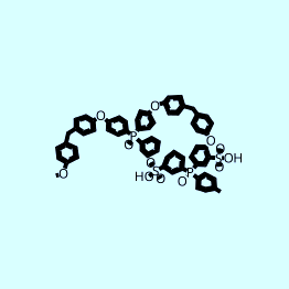 COc1ccc(Cc2ccc(Oc3ccc(P(=O)(c4ccccc4)c4ccc(Oc5ccc(Cc6ccc(Oc7ccc(P(=O)(c8ccc(C)cc8)c8cccc(S(=O)(=O)O)c8)cc7S(=O)(=O)O)cc6)cc5)cc4)cc3)cc2)cc1